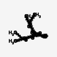 CCCCCCCCC(CCCCCC)COC(=O)CCCCCC(=O)OCC1(COC(=O)CCCCCC(=O)OCC(CCCCCC)CCCCCCCC)CCN(C(=O)CCCN2CCCCC2)CC1